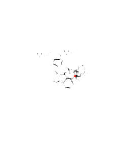 COc1ccc(CN2C(=O)c3cccc(C4=CC5CCC(C4)N5C(=O)OC(C)(C)C)c3C2=O)cc1OC